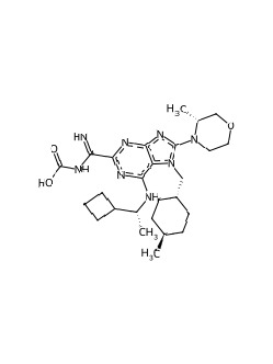 C[C@@H]1COCCN1c1nc2nc(C(=N)NC(=O)O)nc(N[C@H](C)C3CCC3)c2n1C[C@H]1CC[C@H](C)CC1